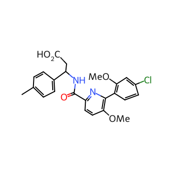 COc1cc(Cl)ccc1-c1nc(C(=O)NC(CC(=O)O)c2ccc(C)cc2)ccc1OC